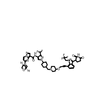 O=C1CCC(c2nn(CC(F)(F)F)c3c(C#CCOC4CCN(CC5CCC(n6cc(NC(=O)c7cnn8ccc(N9C[C@@H]%10C[C@H]9CO%10)nc78)c(C(F)F)n6)CC5)CC4)cccc23)C(=O)N1